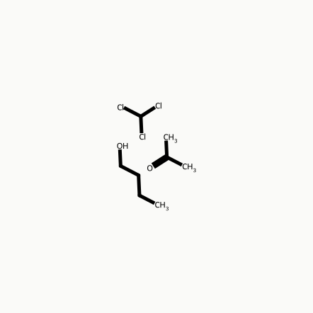 CC(C)=O.CCCCO.ClC(Cl)Cl